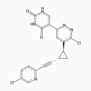 O=c1[nH]cc(-c2cc([C@H]3C[C@@H]3C#Cc3ccc(Cl)cn3)c(Cl)nn2)c(=O)[nH]1